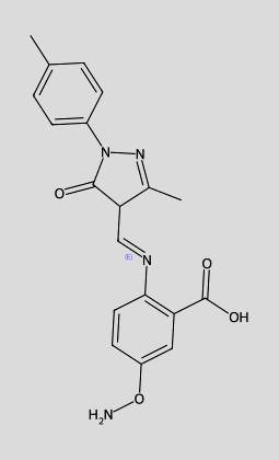 CC1=NN(c2ccc(C)cc2)C(=O)C1/C=N/c1ccc(ON)cc1C(=O)O